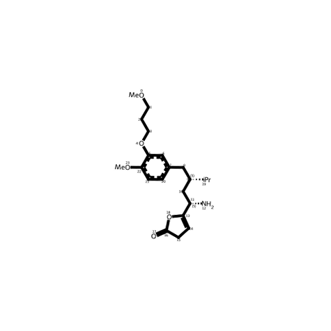 COCCCOc1cc(C[C@@H](C[C@H](N)C2=CCC(=O)O2)C(C)C)ccc1OC